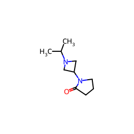 CC(C)N1CC(N2CCCC2=O)C1